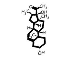 CC(=O)[C@@]1(O)[C@H](C)C[C@H]2[C@@H]3CC=C4C[C@@H](O)CC[C@]4(C)[C@H]3CC[C@@]21C